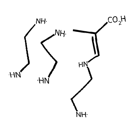 CC(=CNCC[NH])C(=O)O.[NH]CC[NH].[NH]CC[NH]